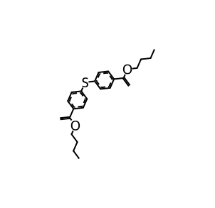 C=C(OCCCC)c1ccc(Sc2ccc(C(=C)OCCCC)cc2)cc1